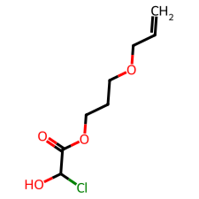 C=CCOCCCOC(=O)C(O)Cl